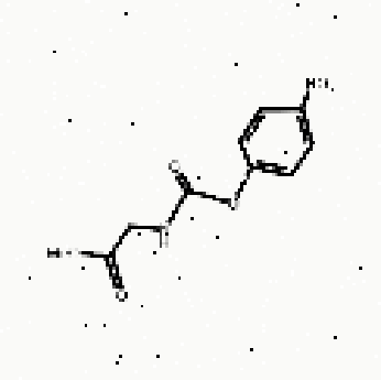 COC(=O)CNC(=O)Oc1ccc([N+](=O)[O-])cc1